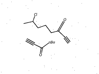 C#CC(=O)CCCC.C#CC(=O)CCCC(C)Cl